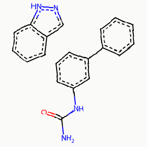 NC(=O)Nc1cccc(-c2ccccc2)c1.c1ccc2[nH]ncc2c1